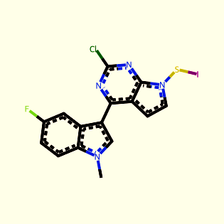 Cn1cc(-c2nc(Cl)nc3c2ccn3SI)c2cc(F)ccc21